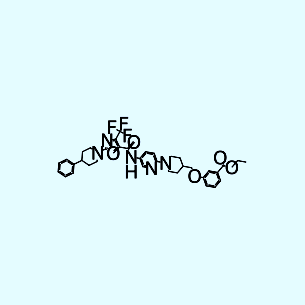 CCOC(=O)c1cccc(OCC2CCN(c3ccc(NC(=O)c4oc(N5CCC(c6ccccc6)CC5)nc4C(F)(F)F)cn3)CC2)c1